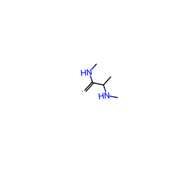 [CH]=C(NC)C(C)NC